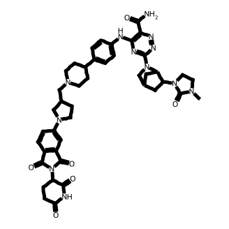 CN1CCN(C2CC3CC2N(c2nnc(C(N)=O)c(Nc4ccc(C5CCN(CC6CCN(c7ccc8c(c7)C(=O)N(C7CCC(=O)NC7=O)C8=O)C6)CC5)cc4)n2)C3)C1=O